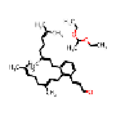 CC(C)=CCC/C(C)=C/Cc1cccc(/C=C/C=O)c1C/C=C(\C)CCC=C(C)C.CCOC(C)OCC